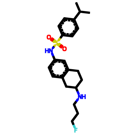 CC(C)c1ccc(S(=O)(=O)Nc2ccc3c(c2)CCC(NCCCF)C3)cc1